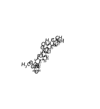 COC(=O)c1cc(F)c(-c2cccc3c2OCN(C(=O)c2c(Cl)cc(N4CCNC(C)C4C)cc2Cl)C3)cc1N1C2CCC1COC2